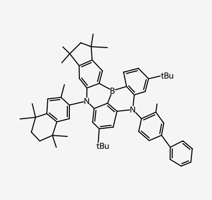 Cc1cc(-c2ccccc2)ccc1N1c2cc(C(C)(C)C)ccc2B2c3cc4c(cc3N(c3cc5c(cc3C)C(C)(C)CCC5(C)C)c3cc(C(C)(C)C)cc1c32)C(C)(C)CC4(C)C